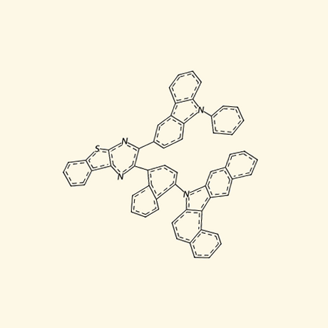 c1ccc(-n2c3ccccc3c3cc(-c4nc5sc6ccccc6c5nc4-c4ccc(-n5c6cc7ccccc7cc6c6c7ccccc7ccc65)c5ccccc45)ccc32)cc1